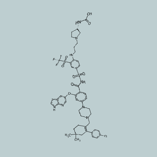 CC1(C)CCC(CN2CCN(c3ccc(C(=O)NS(=O)(=O)c4ccc(NCCCN5CC[C@H](NC(=O)O)C5)c(S(=O)(=O)C(F)(F)F)c4)c(Oc4cnc5[nH]ccc5c4)c3)CC2)=C(c2ccc(Cl)cc2)C1